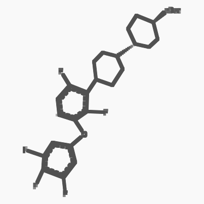 CCCCCCCCCC[C@H]1CC[C@H](C2CCC(c3c(F)c[c]c(Oc4cc(F)c(F)c(F)c4)c3F)CC2)CC1